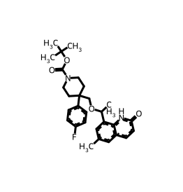 Cc1cc(C(C)OCC2(c3ccc(F)cc3)CCN(C(=O)OC(C)(C)C)CC2)c2[nH]c(=O)ccc2c1